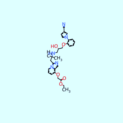 CCOC(=O)COc1cccn2c(CC(C)(C)NC[C@H](O)COc3ccccc3-n3ccc(C#N)c3)ncc12